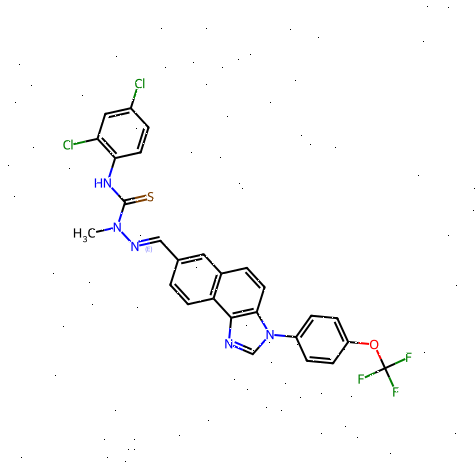 CN(/N=C/c1ccc2c(ccc3c2ncn3-c2ccc(OC(F)(F)F)cc2)c1)C(=S)Nc1ccc(Cl)cc1Cl